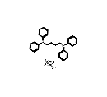 CC(=O)[O-].CC(=O)[O-].[Cu+2].c1ccc(P(CCCCP(c2ccccc2)c2ccccc2)c2ccccc2)cc1